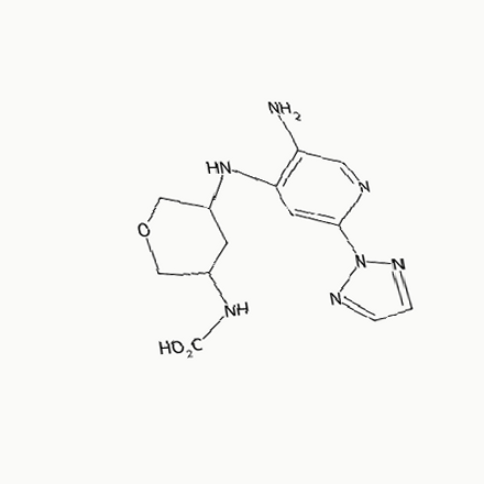 Nc1cnc(-n2nccn2)cc1NC1COCC(NC(=O)O)C1